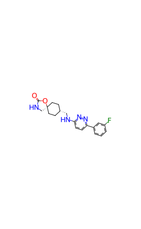 O=C1NC[C@]2(CC[C@@H](CNc3ccc(-c4cccc(F)c4)nn3)CC2)O1